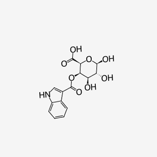 O=C(O[C@@H]1[C@H](O)[C@@H](O)[C@H](O)O[C@@H]1C(=O)O)c1c[nH]c2ccccc12